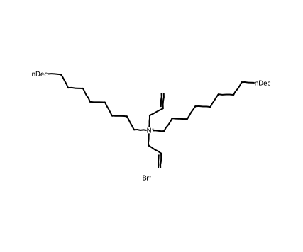 C=CC[N+](CC=C)(CCCCCCCCCCCCCCCCCC)CCCCCCCCCCCCCCCCCC.[Br-]